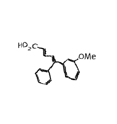 COc1cccc(C(=CC=CC(=O)O)c2ccccc2)c1